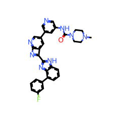 CN1CCN(C(=O)Nc2cncc(-c3cnc4c(c3)C(c3nc5c(-c6cccc(F)c6)cccc5[nH]3)=N4)c2)CC1